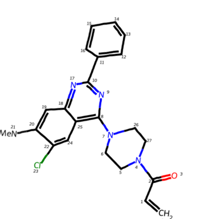 C=CC(=O)N1CCN(c2nc(-c3ccccc3)nc3cc(NC)c(Cl)cc23)CC1